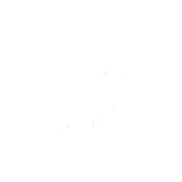 O=C(NS(=O)(=O)c1cccc(F)c1)c1ccc(-n2ccc(OCC3(C(F)(F)F)CCC3)n2)nc1Cl